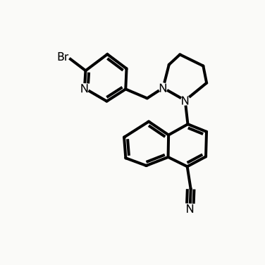 N#Cc1ccc(N2CCCCN2Cc2ccc(Br)nc2)c2ccccc12